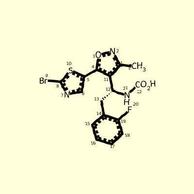 Cc1noc(-c2cnc(Br)s2)c1[C@@H](Cc1ccccc1F)NC(=O)O